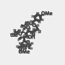 C=C[C@H]([C@@H](O)[C@H](CO[Si](C)(C)C(C)(C)C)[C@H](O[Si](C)(C)C(C)(C)C)[C@H]1O[C@@H]1[C@@H](C)COCc1ccc(OC)cc1)[C@H](CC(=O)N(C)OC)O[Si](C)(C)C(C)(C)C